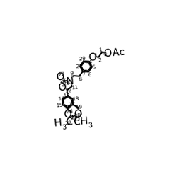 CC(=O)OCCOc1ccc(CCN2C[C@@H](c3ccc4c(c3)COC(C)(C)O4)OC2=O)cc1